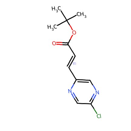 CC(C)(C)OC(=O)/C=C/c1cnc(Cl)cn1